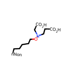 CCCCCCCCCCCCCCON(CCC(=O)O)CC(=O)O